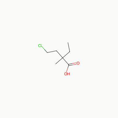 CCC(C)(CCCl)C(=O)O